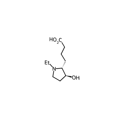 CCN1CC[C@H](O)[C@H]1CCCC(=O)O